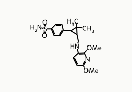 COc1ccc(NCC2C(c3ccc(S(N)(=O)=O)cc3)C2(C)C)c(OC)n1